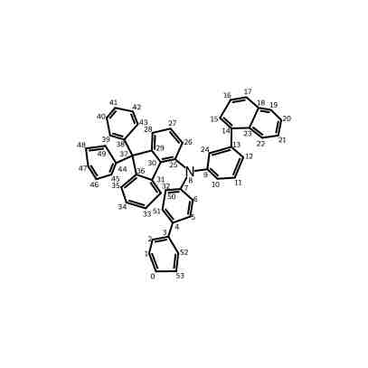 c1ccc(-c2ccc(N(c3cccc(-c4cccc5ccccc45)c3)c3cccc4c3-c3ccccc3C4(c3ccccc3)c3ccccc3)cc2)cc1